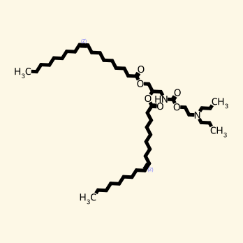 CCCCCCCC/C=C\CCCCCCCC(=O)OCC(CNC(=O)OCCN(CCC)CCC)OC(=O)CCCCCCC/C=C\CCCCCCCC